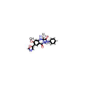 COc1cc2c(cc1-c1cnco1)C(=O)N(C)C(C)(C(=O)Nc1ccccc1)N2